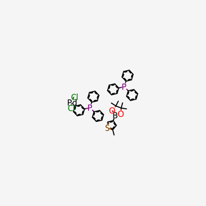 Cc1cc(B2OC(C)(C)C(C)(C)O2)cs1.[Cl][Pd][Cl].c1ccc(P(c2ccccc2)c2ccccc2)cc1.c1ccc(P(c2ccccc2)c2ccccc2)cc1